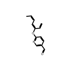 C=C/C(=C\C=C/C)Oc1ccc(C=O)cn1